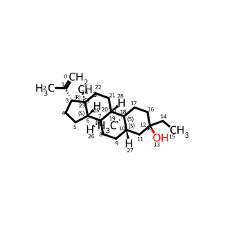 C=C(C)[C@H]1CC[C@H]2[C@@H]3CC[C@H]4C[C@@](O)(CC)CC[C@]4(C)[C@H]3CC[C@]12C